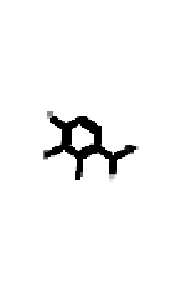 Fc1ccc(C(F)Br)c(F)c1F